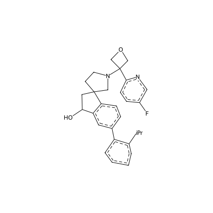 CC(C)c1ccccc1-c1ccc2c(c1)C(O)CC21CCN(C2(c3ccc(F)cn3)COC2)C1